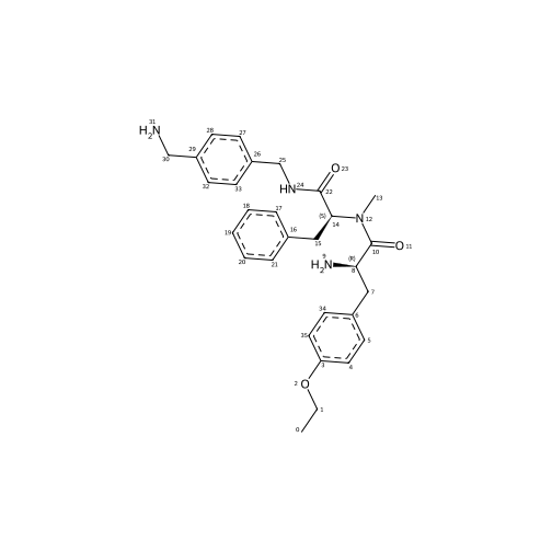 CCOc1ccc(C[C@@H](N)C(=O)N(C)[C@@H](Cc2ccccc2)C(=O)NCc2ccc(CN)cc2)cc1